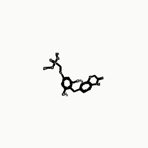 CCOP(=O)(COc1cc(C)c(Cc2ccc3c(c2)OCC(=O)N3)c(C)c1)OCC